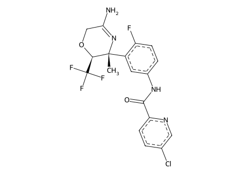 C[C@]1(c2cc(NC(=O)c3ccc(Cl)cn3)ccc2F)N=C(N)CO[C@@H]1C(F)(F)F